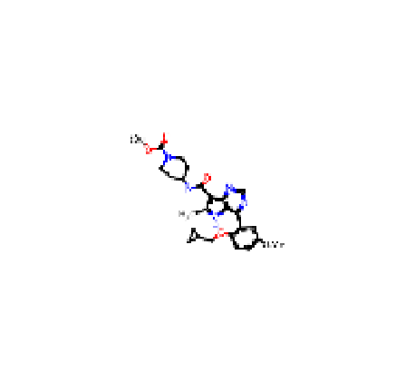 COc1ccc(OCC2CC2)c(-c2ncnc3c(C(=O)NC4CCN(C(=O)OC(C)(C)C)CC4)c(C)[nH]c23)c1